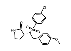 COc1ccc(CN([C@@H]2CCNC2=O)S(=O)(=O)c2ccc(Cl)cc2)cc1